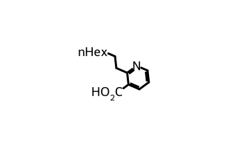 CCCCCCCCc1ncccc1C(=O)O